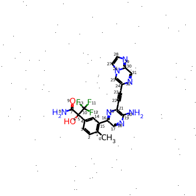 Cc1ccc(C(O)(C(N)=O)C(F)(F)F)cc1-c1cnc(N)c(C#Cc2cn3ccnc3cn2)n1